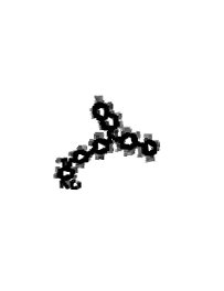 CN(c1ccc(N=O)cc1)c1ccc(-c2ccc(N(c3ccc(-c4ccccc4)cc3)c3ccc4ccccc4c3)cc2)cc1